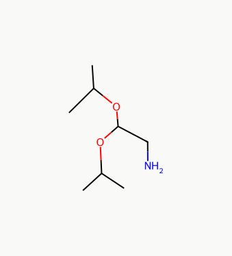 CC(C)OC(CN)OC(C)C